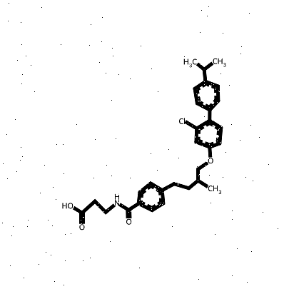 CC(CCc1ccc(C(=O)NCCC(=O)O)cc1)COc1ccc(-c2ccc(C(C)C)cc2)c(Cl)c1